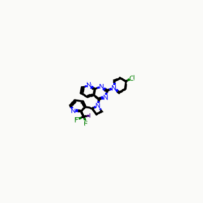 FC(F)(I)c1ncccc1C1CCN1c1nc(N2CCC(Cl)CC2)nc2ncccc12